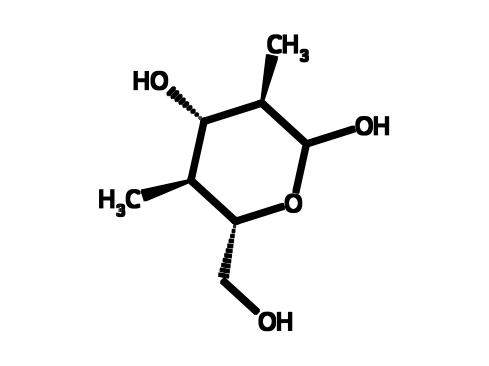 C[C@H]1[C@H](O)[C@@H](C)C(O)O[C@@H]1CO